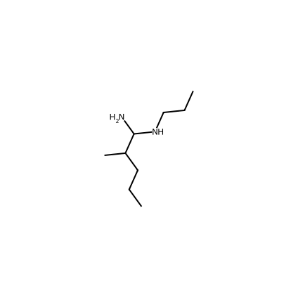 CCCNC(N)C(C)CCC